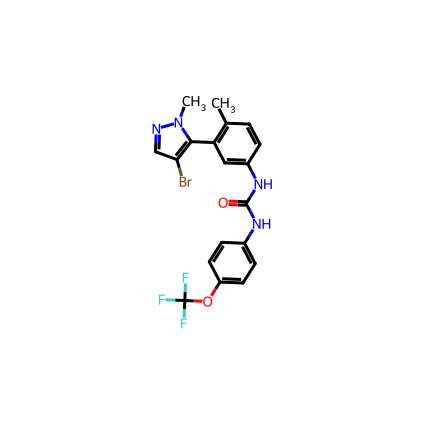 Cc1ccc(NC(=O)Nc2ccc(OC(F)(F)F)cc2)cc1-c1c(Br)cnn1C